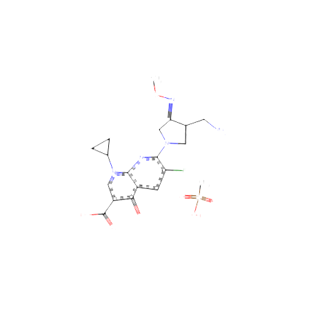 CO/N=C1\CN(c2nc3c(cc2F)c(=O)c(C(=O)O)cn3C2CC2)CC1CN.CS(=O)(=O)O